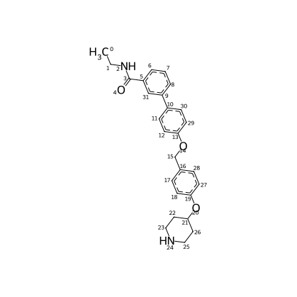 CCNC(=O)c1cccc(-c2ccc(OCc3ccc(OC4CCNCC4)cc3)cc2)c1